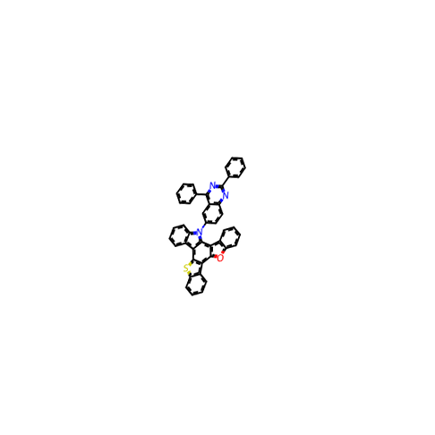 c1ccc(-c2nc(-c3ccccc3)c3cc(-n4c5ccccc5c5c6sc7ccccc7c6c6oc7ccccc7c6c54)ccc3n2)cc1